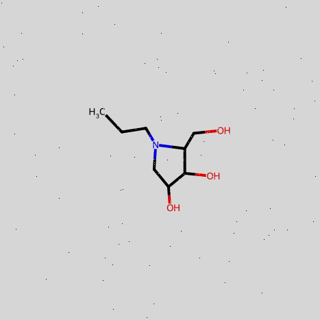 CCCN1CC(O)C(O)C1CO